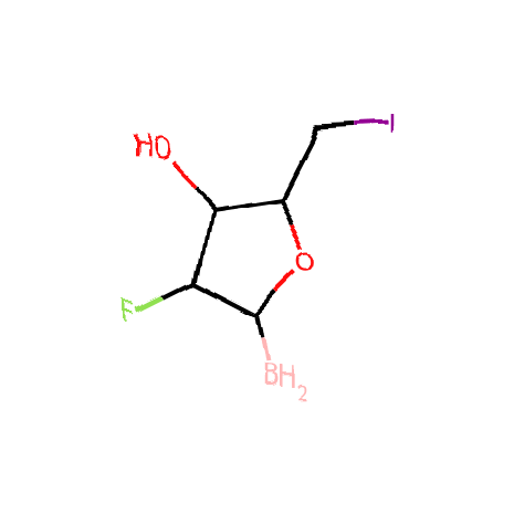 BC1OC(CI)C(O)C1F